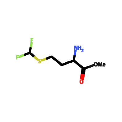 COC(=O)C(N)CCSC(F)F